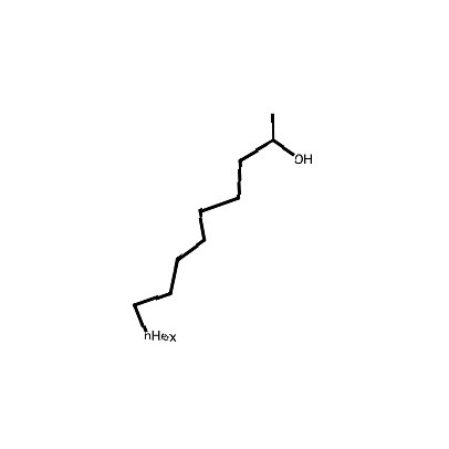 [CH2]CCCCCCCCCCCCC(C)O